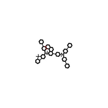 CC1(C)c2ccccc2-c2ccc(N(c3ccc(-c4ccccc4)cc3)c3ccc(-c4ccc(N(c5ccc(-c6ccccc6)cc5)c5ccc(-c6ccccc6)cc5)cc4)c4ccc5ccccc5c34)cc21